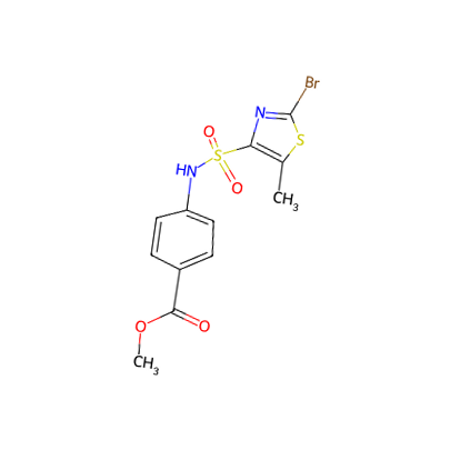 COC(=O)c1ccc(NS(=O)(=O)c2nc(Br)sc2C)cc1